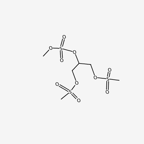 COS(=O)(=O)OC(COS(C)(=O)=O)COS(C)(=O)=O